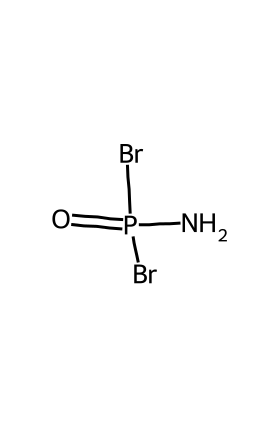 NP(=O)(Br)Br